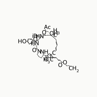 C=CCOC(=O)/C=C/C=C(\C)[C@@H]1C/C=C/C=C/C[C@H](C)[C@@H](O)[C@@H](CCC(C)=O)C(=O)N[C@@H](C(C)C)C(=O)N[C@@H](Cc2cccc(O)c2)C(=O)N2CCCC(N2)C(=O)O1